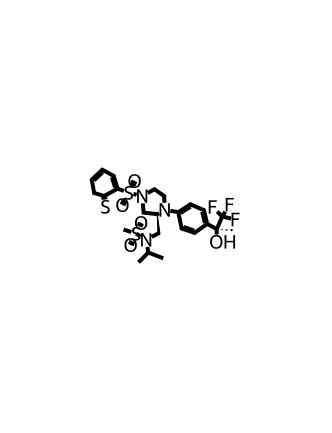 CC(C)N(C[C@H]1CN(S(=O)(=O)C2=CC=CCC2=S)CCN1c1ccc([C@](C)(O)C(F)(F)F)cc1)S(C)(=O)=O